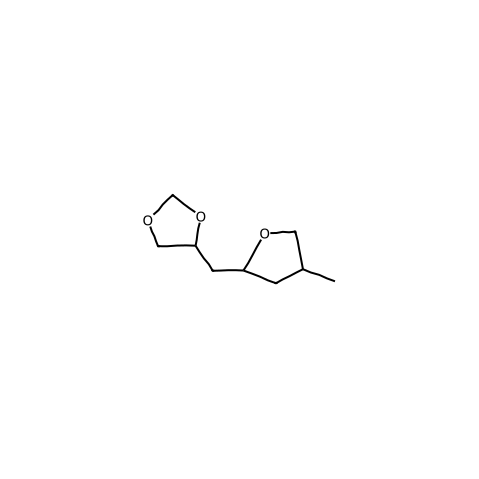 CC1COC(CC2COCO2)C1